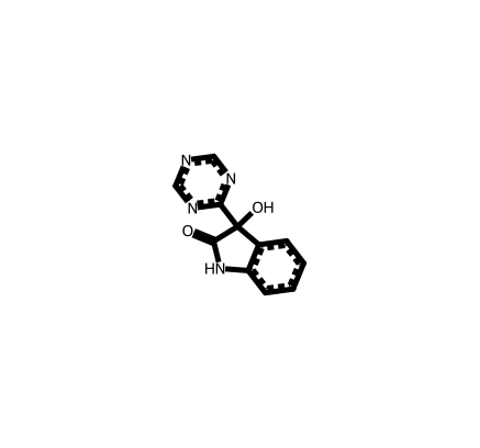 O=C1Nc2ccccc2C1(O)c1ncncn1